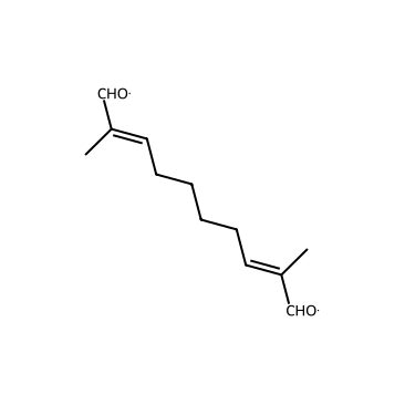 CC([C]=O)=CCCCCC=C(C)[C]=O